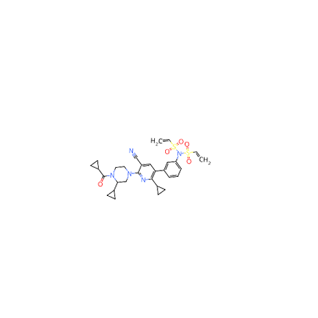 C=CS(=O)(=O)N(c1cccc(-c2cc(C#N)c(N3CCN(C(=O)C4CC4)C(C4CC4)C3)nc2C2CC2)c1)S(=O)(=O)C=C